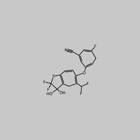 N#CC1=CC(OC2=C(C(F)F)CC3=C(C=C2)SC(F)(F)C3(O)O)=CCC(F)=C1